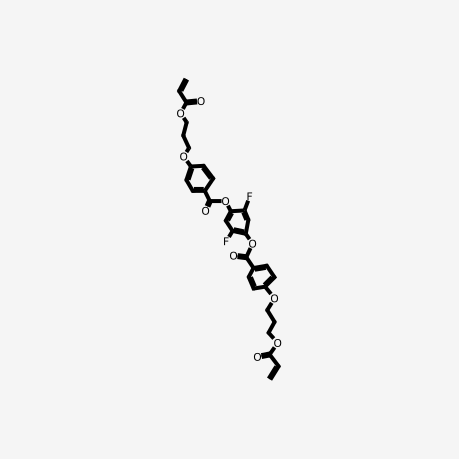 C=CC(=O)OCCCOc1ccc(C(=O)Oc2cc(F)c(OC(=O)c3ccc(OCCCOC(=O)C=C)cc3)cc2F)cc1